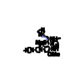 C=Cc1cnc(Nc2cc(C(C)C)c(N3CCC(N4CCN(C)CC4)CC3)cc2OC)nc1N/C(=C/C=C1\CN=CC=N1)C(=C)SC